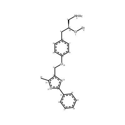 CCO[C@H](CNC(C)=O)Cc1ccc(OCc2nc(-c3ccccc3)oc2C)cc1